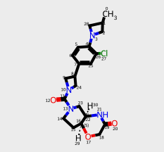 CC1CN(c2ccc(C3CN(C(=O)N4CC[C@@H]5OCC(=O)N[C@@H]5C4)C3)cc2Cl)C1